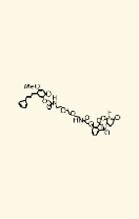 COC1=CC(=O)C(OCC(=O)NCCOCCOCCNC(=O)COc2cccc3c2C(=O)N(C2CCC(=O)NC2=O)C3=O)=CC1=CC=Cc1ccccc1